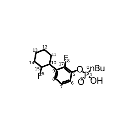 CCCCP(=O)(O)Oc1cccc(C2CCCCC2F)c1F